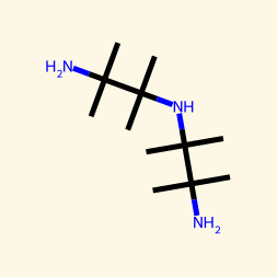 CC(C)(N)C(C)(C)NC(C)(C)C(C)(C)N